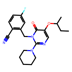 CCC(C)Oc1cnc(N2CCCCC2)n(Cc2cc(F)ccc2C#N)c1=O